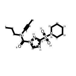 CC#CN(CCC)C(=O)n1cnc(S(=O)(=O)N2CCCCC2)n1